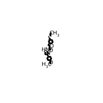 CCCSc1ccc2oc(C(=O)NC3=NC(c4ccc(OC)cc4)CS3)cc2c1